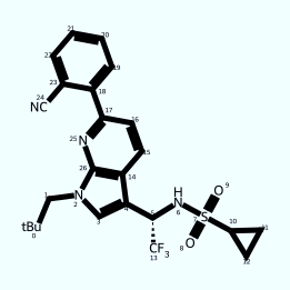 CC(C)(C)Cn1cc([C@H](NS(=O)(=O)C2CC2)C(F)(F)F)c2ccc(-c3ccccc3C#N)nc21